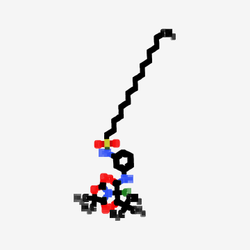 CCCCCCCCCCCCCCCCS(=O)(=O)Nc1cccc(NC(=O)C(Cl)(C(=O)C(C)(C)C)N2C(=O)OC(C)(C)C2=O)c1